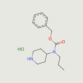 CCCN(C(=O)OCc1ccccc1)C1CCNCC1.Cl